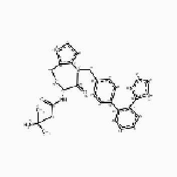 CC(C)(N)CC(=O)N[C@@H]1CCc2[nH]ccc2N(Cc2ccc(-c3ccccc3-c3nnn[nH]3)cc2)C1=O